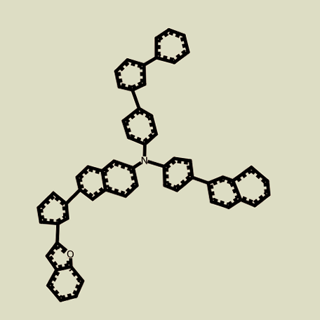 c1ccc(-c2cccc(-c3ccc(N(c4ccc(-c5ccc6ccccc6c5)cc4)c4ccc5cc(-c6cccc(-c7cc8ccccc8o7)c6)ccc5c4)cc3)c2)cc1